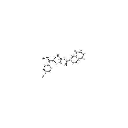 CC(=O)OC(c1ccc(F)cc1)C1CCN(CC(=O)c2ccc3ccccc3c2)CC1